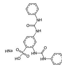 O=C(Nc1ccccc1)Nc1ccc(S(=O)(=O)O)c(NC(=O)Nc2ccccc2)c1.[NaH]